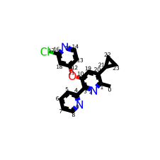 Cc1nc(-c2ccccn2)c(Oc2ccnc(Cl)c2)cc1C1CC1